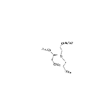 COCC(C)OC(C)=O.COCCOCCOC